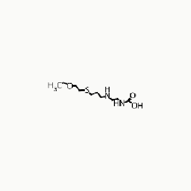 CCOCCSCCCNCCNC(=O)O